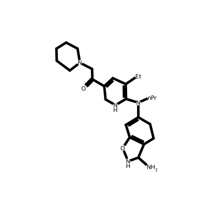 CCCN(C1=CC2=C(CC1)C(N)NO2)C1=C(CC)C=C(C(=O)CN2CCCCC2)CN1